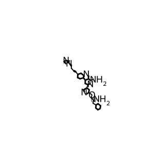 Nc1nc(-c2cncc(OC[C@@H](N)Cc3ccccc3)c2)cc2c1cnc1cc(C#CCCn3ccnc3)ccc12